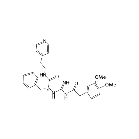 COc1ccc(CC(=O)NC(=N)N[C@H](Cc2ccccc2)C(=O)NCCc2ccncc2)cc1OC